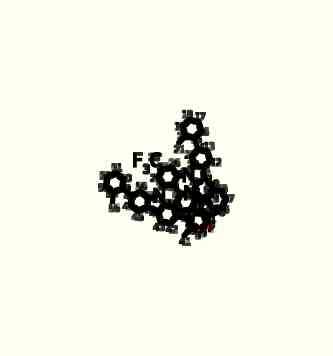 Cc1ccccc1-c1ccc2c3ccc(-c4ccccc4C)cc3n(-c3cc(C(F)(F)F)cc(-n4c5cc(-c6ccccc6C)ccc5c5ccc(-c6ccccc6C)cc54)c3-c3cccc(-c4ccccc4)n3)c2c1